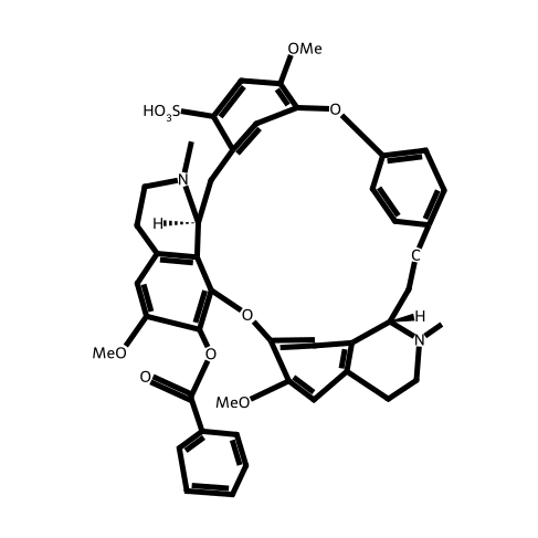 COc1cc(S(=O)(=O)O)c2cc1Oc1ccc(cc1)CC[C@H]1c3cc(c(OC)cc3CCN1C)Oc1c(OC(=O)c3ccccc3)c(OC)cc3c1[C@H](C2)N(C)CC3